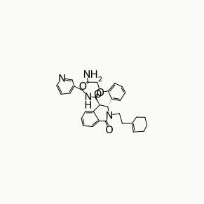 NC(=O)COc1ccccc1[C@H]1[C@H](C(=O)NCc2cccnc2)c2ccccc2C(=O)N1CCC1=CCCCC1